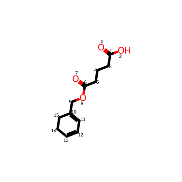 O=C(O)CCCC(=O)OCC1=CC=CCC1